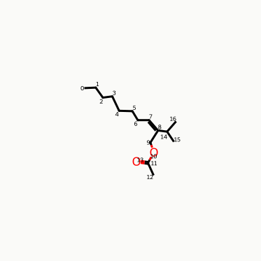 CCCCCCCC=C(COC(C)=O)C(C)C